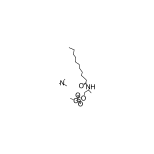 CCCCCCCCCCC(=O)NC(C)COS(=O)(=O)OC.CN(C)C